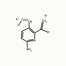 C=C(CC)c1nc(N)ccc1C#N.O=C([O-])[O-].[K+].[K+]